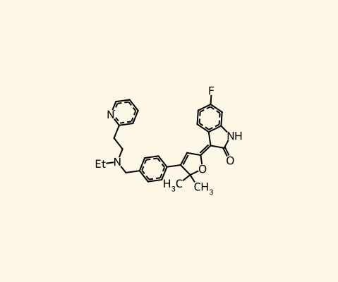 CCN(CCc1ccccn1)Cc1ccc(C2=CC(=C3C(=O)Nc4cc(F)ccc43)OC2(C)C)cc1